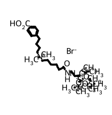 C[N+](C)(CCCCCC(=O)NCCC[Si](O[Si](C)(C)C)(O[Si](C)(C)C)O[Si](C)(C)C)CCCCc1ccc(C(=O)O)cc1.[Br-]